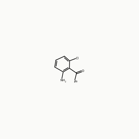 CC(C)C(=O)c1c(N)cccc1Cl